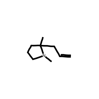 C=CCC1(C)CCCN1C